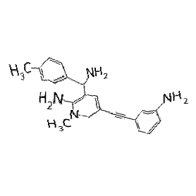 Cc1ccc(C(N)C2=C(N)N(C)CC(C#Cc3cccc(N)c3)=C2)cc1